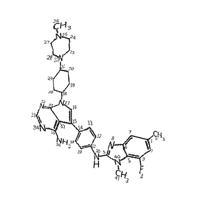 Cc1cc(F)c2c(c1)nc(Nc1ccc(-c3cn(C4CCC(N5CCN(C)CC5)CC4)c4ncnc(N)c34)cc1)n2C